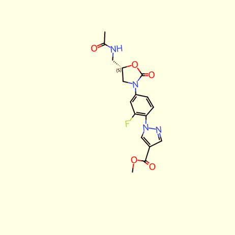 COC(=O)c1cnn(-c2ccc(N3C[C@H](CNC(C)=O)OC3=O)cc2F)c1